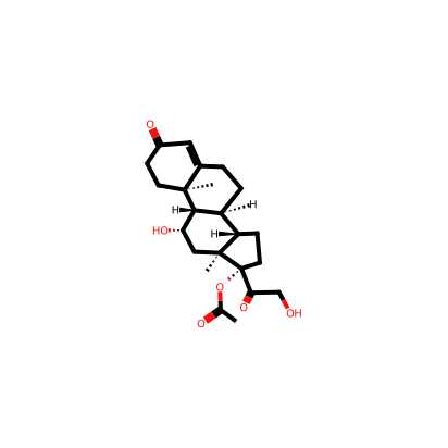 CC(=O)O[C@@]1(C(=O)CO)CC[C@H]2[C@@H]3CCC4=CC(=O)CC[C@]4(C)[C@H]3[C@@H](O)C[C@@]21C